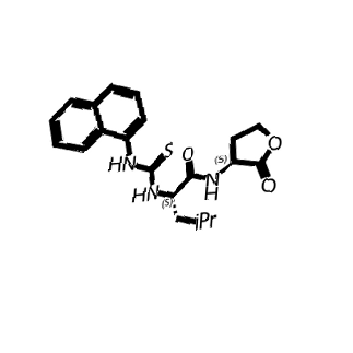 CC(C)C[C@H](NC(=S)Nc1cccc2ccccc12)C(=O)N[C@H]1CCOC1=O